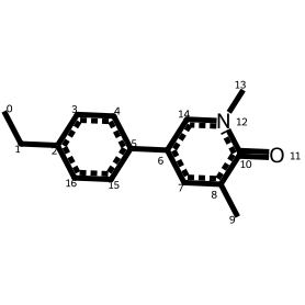 CCc1ccc(-c2cc(C)c(=O)n(C)c2)cc1